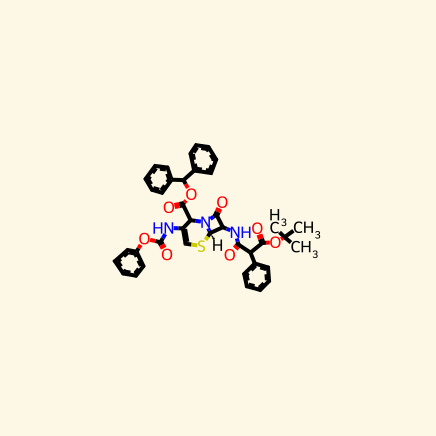 CC(C)(C)OC(=O)C(C(=O)NC1C(=O)N2C(C(=O)OC(c3ccccc3)c3ccccc3)C(NC(=O)Oc3ccccc3)=CS[C@H]12)c1ccccc1